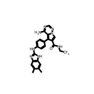 Cc1cc2nc(Nc3ccc(-c4c(C(=O)NCC(F)(F)F)cn5ncnc(N)c45)cc3)[nH]c2cc1C